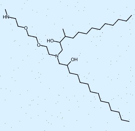 CCCCCCCCCCCCC(O)CN(CCOCCOCCNC)CC(O)C(C)CCCCCCCCCC